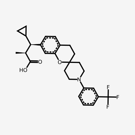 C[C@H](C(=O)O)[C@H](c1ccc2c(c1)OC1(CC2)CCN(c2cccc(C(F)(F)F)c2)CC1)C1CC1